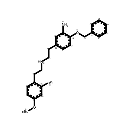 CCCCOc1ccc(CCNCCc2ccc(OCc3ccccc3)c(N)c2)c(CCC)c1